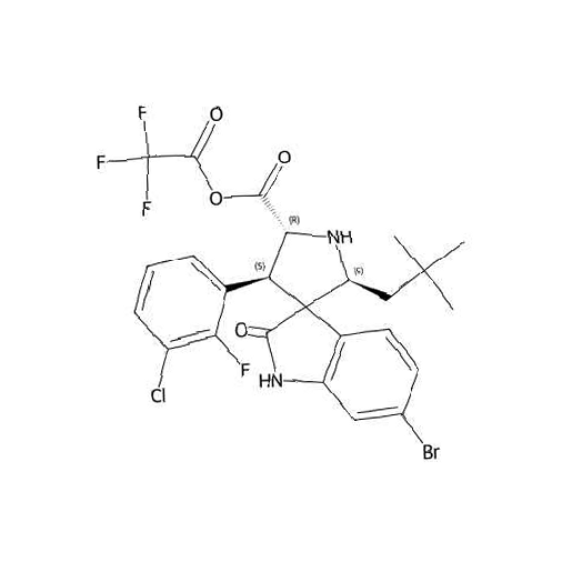 CC(C)(C)C[C@@H]1N[C@@H](C(=O)OC(=O)C(F)(F)F)[C@H](c2cccc(Cl)c2F)C12C(=O)Nc1cc(Br)ccc12